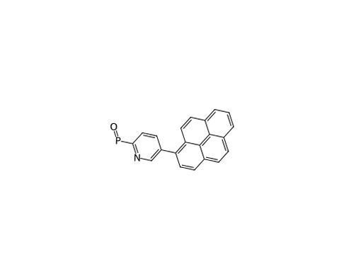 O=Pc1ccc(-c2ccc3ccc4cccc5ccc2c3c45)cn1